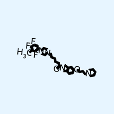 Cc1c(F)c(F)cc(N2CCN(CCCCCC(=O)N3Cc4ccc(OCCCN5CCCCC5)cc4C3)CC2)c1F